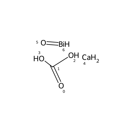 O=C(O)O.[CaH2].[O]=[BiH]